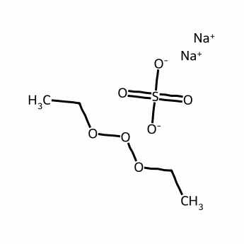 CCOOOCC.O=S(=O)([O-])[O-].[Na+].[Na+]